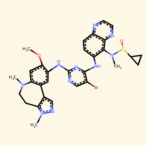 COc1cc2c(cc1Nc1ncc(Br)c(Nc3ccc4nccnc4c3N(C)[S+]([O-])C3CC3)n1)-c1cnn(C)c1CCN2C